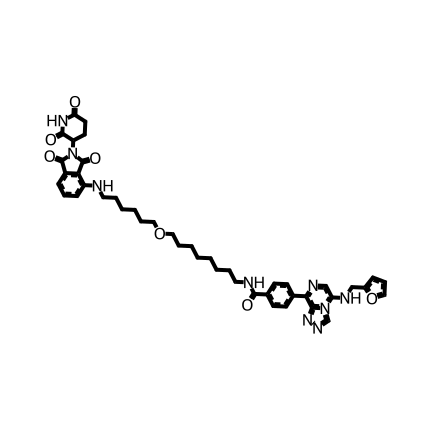 O=C1CCC(N2C(=O)c3cccc(NCCCCCCOCCCCCCCCNC(=O)c4ccc(-c5ncc(NCc6ccco6)n6cnnc56)cc4)c3C2=O)C(=O)N1